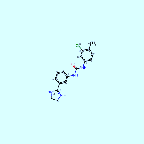 Cc1ccc(NC(=O)Nc2cccc(C3=NCCN3)c2)cc1Cl